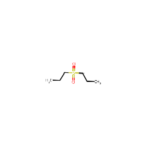 CC[CH]S(=O)(=O)CCC